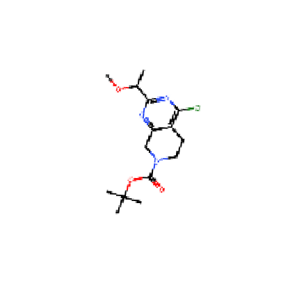 COC(C)c1nc(Cl)c2c(n1)CN(C(=O)OC(C)(C)C)CC2